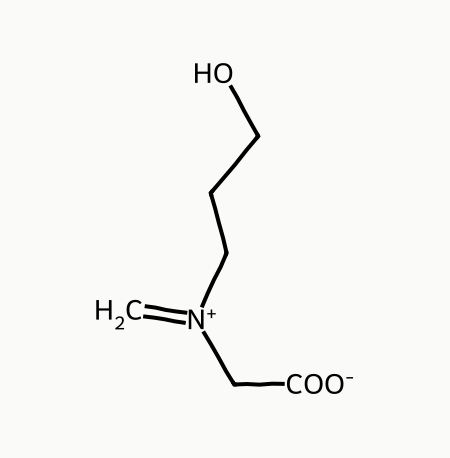 C=[N+](CCCO)CC(=O)[O-]